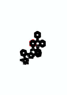 Cn1nnnc1-c1ccccc1N1C=CN(c2ccccc2)[C@H]1CP(c1ccccc1)c1ccccc1Oc1ccccc1P(c1ccccc1)c1ccccc1